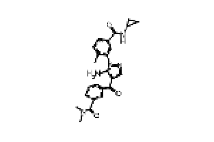 Cc1ccc(C(=O)NC2CC2)cc1-n1ncc(C(=O)c2cccc(C(=O)N(C)C)c2)c1N